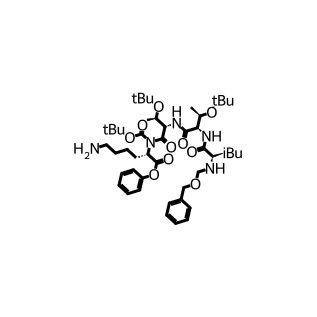 CC[C@H](C)[C@H](NCOCc1ccccc1)C(=O)N[C@H](C(=O)N[C@H](C(=O)N(C(=O)OC(C)(C)C)[C@@H](CCCCN)C(=O)Oc1ccccc1)[C@@H](C)OC(C)(C)C)[C@@H](C)OC(C)(C)C